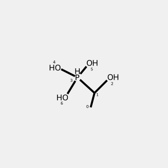 CC(O)[PH](O)(O)O